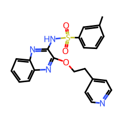 Cc1cccc(S(=O)(=O)Nc2nc3ccccc3nc2OCCc2ccncc2)c1